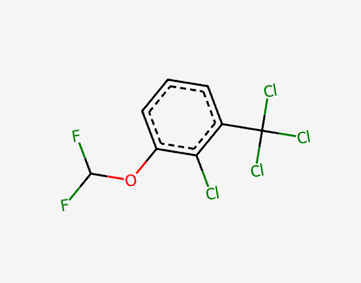 FC(F)Oc1cccc(C(Cl)(Cl)Cl)c1Cl